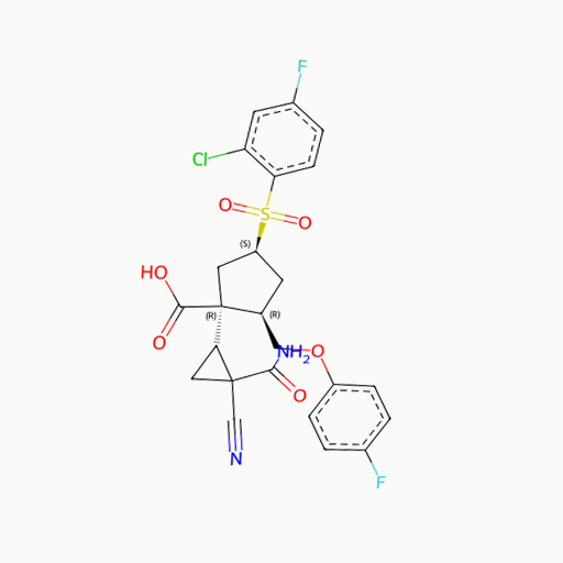 N#CC1(C(N)=O)CC1[C@]1(C(=O)O)C[C@@H](S(=O)(=O)c2ccc(F)cc2Cl)C[C@H]1COc1ccc(F)cc1